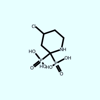 O=P(O)(O)C1(P(=O)(O)O)CC(Cl)CCN1